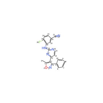 Cc1onc(-c2ccccc2)c1-c1ccnc(Nc2cc(C#N)ccc2F)n1